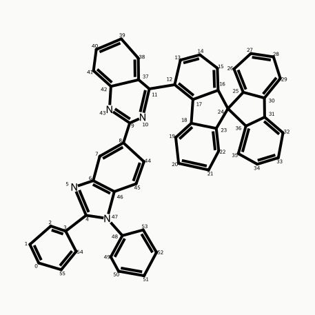 c1ccc(-c2nc3cc(-c4nc(-c5cccc6c5-c5ccccc5C65c6ccccc6-c6ccccc65)c5ccccc5n4)ccc3n2-c2ccccc2)cc1